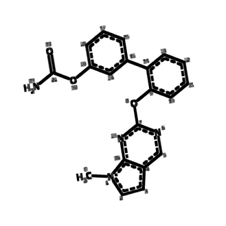 Cn1ccc2cnc(Oc3ccccc3-c3cccc(OC(N)=O)c3)nc21